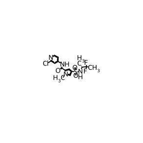 C[C@@H](NS(=O)(=O)c1cc(C(=O)Nc2ccnc(Cl)c2)n(C)c1)C(C)(F)F